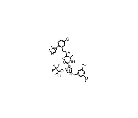 COc1cc(C[C@@H]2CN[C@@H](C(=O)NC(C)C(=O)NCc3cc(Cl)ccc3-n3cnnn3)C2)cc(OC)c1.O=C(O)C(F)(F)F